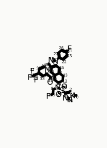 Cn1cc(S(=O)(=O)N(CCF)[C@H]2CCC3=Cc4c(cnn4-c4ccc(F)cc4)C[C@]3(C(=O)c3cc(C(F)(F)F)ccn3)C2)nn1